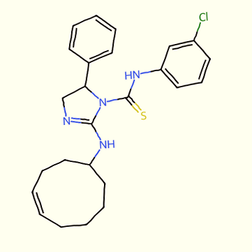 S=C(Nc1cccc(Cl)c1)N1C(NC2CCC=CCCCC2)=NCC1c1ccccc1